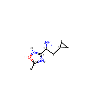 Cc1nc(C(N)CC2CC2)no1